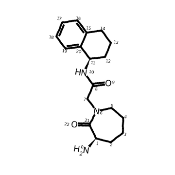 N[C@@H]1CCCCN(CC(=O)N[C@@H]2CCCc3ccccc32)C1=O